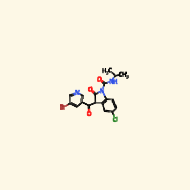 CC(C)NC(=O)N1C(=O)C(C(=O)c2cncc(Br)c2)c2cc(Cl)ccc21